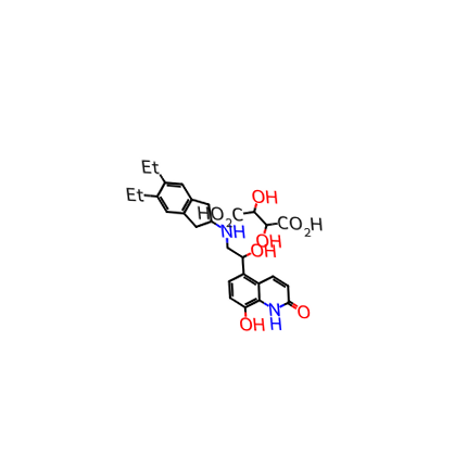 CCc1cc2c(cc1CC)CC(NCC(O)c1ccc(O)c3[nH]c(=O)ccc13)C2.O=C(O)C(O)C(O)C(=O)O